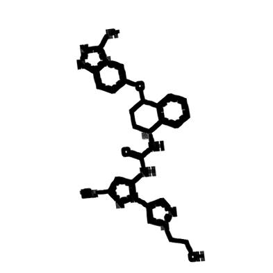 CC(C)c1nnc2ccc(OC3CC[C@H](NC(=O)Nc4cc(C(C)(C)C)nn4-c4cnn(CCO)c4)c4ccccc43)cn12